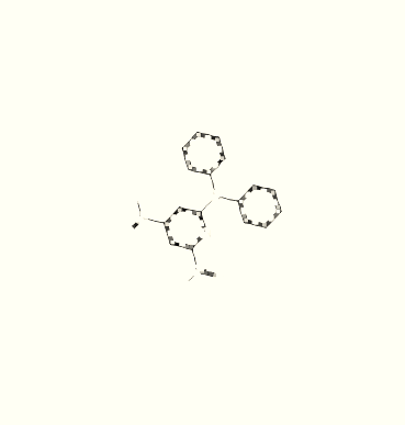 O=[N+]([O-])c1cc(N(c2ccccc2)c2ccccc2)nc([N+](=O)[O-])c1